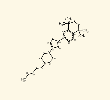 CC1(C)CCC(C)(C)c2cc(C3=NC(C4CCN(CCCCO)CC4)=CC3)ccc21